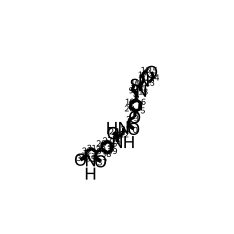 O=C(COc1ccc(-c2csc(N3CCOCC3)n2)cc1)NCC(=O)Nc1ccc(C2CCC(=O)NC2=O)cc1